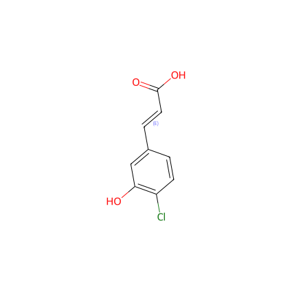 O=C(O)/C=C/c1ccc(Cl)c(O)c1